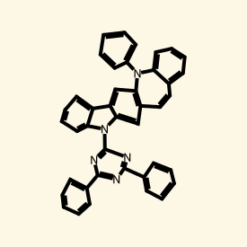 C1=Cc2cc3c(cc2N(c2ccccc2)c2ccccc21)c1ccccc1n3-c1nc(-c2ccccc2)nc(-c2ccccc2)n1